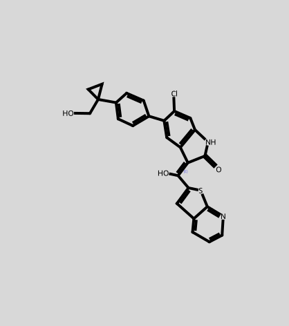 O=C1Nc2cc(Cl)c(-c3ccc(C4(CO)CC4)cc3)cc2/C1=C(\O)c1cc2cccnc2s1